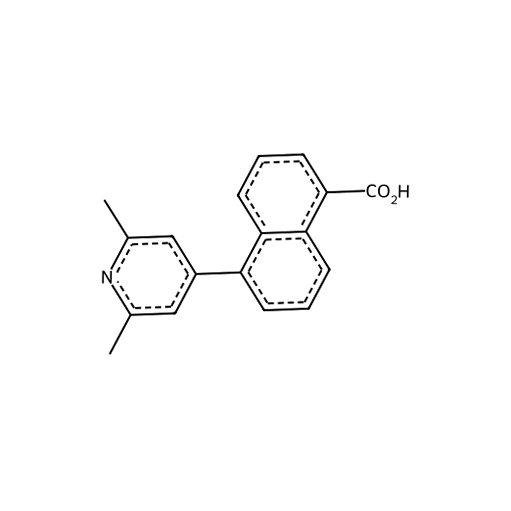 Cc1cc(-c2cccc3c(C(=O)O)cccc23)cc(C)n1